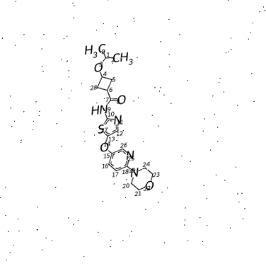 CC(C)OC1CC(C(=O)Nc2ncc(Oc3ccc(N4CCOCC4)nc3)s2)C1